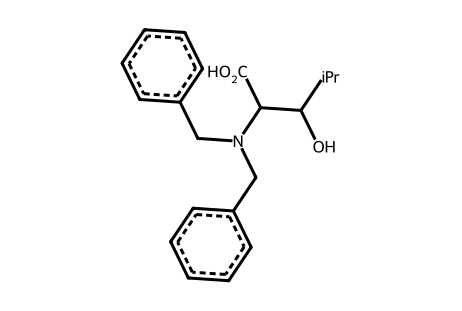 CC(C)C(O)C(C(=O)O)N(Cc1ccccc1)Cc1ccccc1